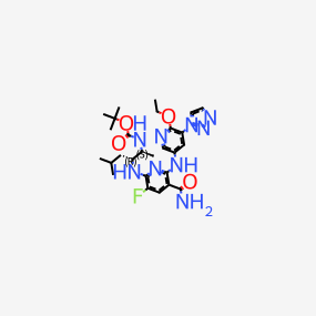 CCOc1ncc(Nc2nc(N[C@H](CC(C)C)[C@H](C)NC(=O)OC(C)(C)C)c(F)cc2C(N)=O)cc1-n1ccnn1